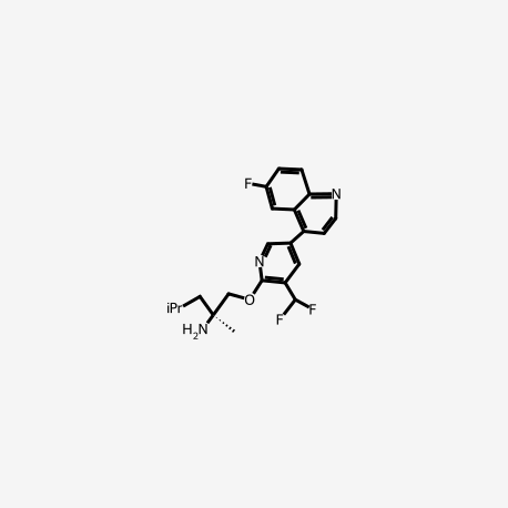 CC(C)C[C@](C)(N)COc1ncc(-c2ccnc3ccc(F)cc23)cc1C(F)F